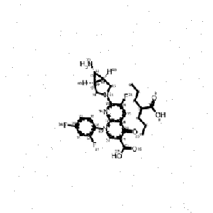 CCCC(CCC)C(=O)O.N[C@@H]1[C@H]2CN(c3nc4c(cc3F)c(=O)c(C(=O)O)cn4-c3ccc(F)cc3F)C[C@@H]12